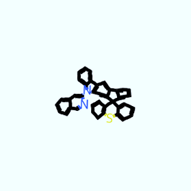 C1=CC2=C(CC1)Sc1ccccc1C21c2ccccc2-c2cc3c4ccccc4n(-c4cc5ccccc5cn4)c3cc21